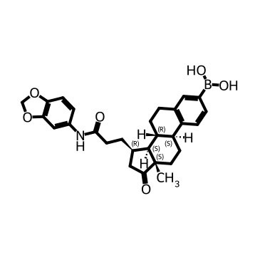 C[C@]12CC[C@@H]3c4ccc(B(O)O)cc4CC[C@H]3[C@@H]1[C@H](CCC(=O)Nc1ccc3c(c1)OCO3)CC2=O